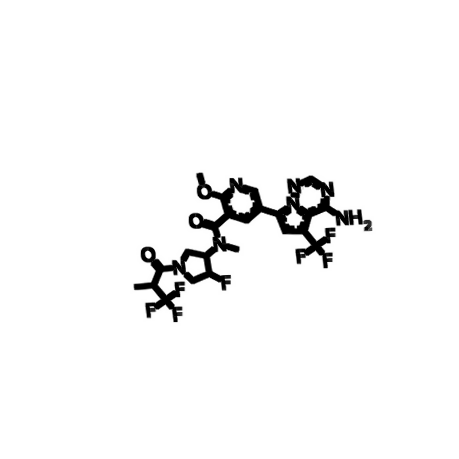 COc1ncc(-c2cc(C(F)(F)F)c3c(N)ncnn23)cc1C(=O)N(C)C1CN(C(=O)C(C)C(F)(F)F)CC1F